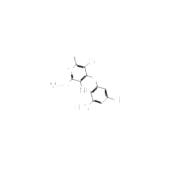 COc1nc(C)c(Br)c(Oc2cc(N)cc(Cl)c2)c1N